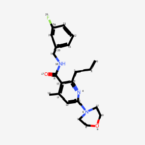 CCCc1nc(N2CCOCC2)cc(C)c1C(=O)NCc1cccc(F)c1